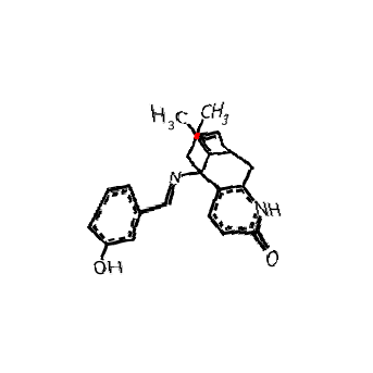 C/C=C1\C2C=C(C)CC1(N=Cc1cccc(O)c1)c1ccc(=O)[nH]c1C2